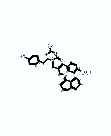 CCCC(F)OC(=O)N(CCc1ccc(O)cc1)CC(=Cc1ccc(C(=O)O)cc1)COc1cccc2ccccc12